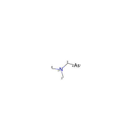 CN(C)C[As]